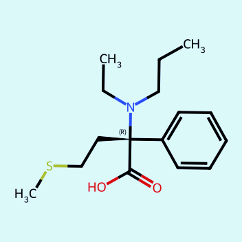 CCCN(CC)[C@@](CCSC)(C(=O)O)c1ccccc1